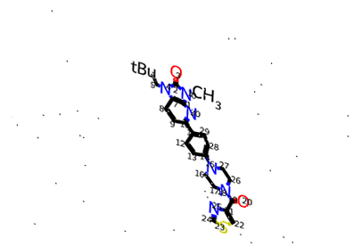 Cn1c(=O)n(CC(C)(C)C)c2ccc(-c3ccc(N4CCN(C(=O)c5cscn5)CC4)cc3)nc21